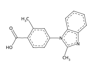 Cc1cc(-n2c(C)nc3ccccc32)ccc1C(=O)O